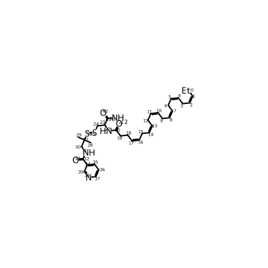 CC/C=C\C/C=C\C/C=C\C/C=C\C/C=C\C/C=C\CCC(=O)NC(CSSC(C)(C)CNC(=O)c1cccnc1)C(N)=O